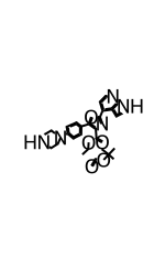 CC(C)(C)OC=O.CCOC(=O)c1nc(-c2ccnc3[nH]ccc23)oc1-c1ccc(N2CCNCC2)cc1